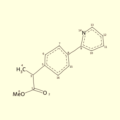 COC(=O)C(C)c1ccc(-c2ccccn2)cc1